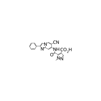 Cn1ncc(C(=O)O)c1C(=O)Nc1cc2nc(-c3ccccc3)cn2cc1C#N